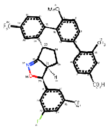 COc1ccc(-c2ccc(C(=O)O)cc2C)cc1-c1ccc(C(F)(F)F)cc1[C@@H]1CC[C@@H]2C1=NO[C@@H]2c1cc(F)cc(C(F)(F)F)c1